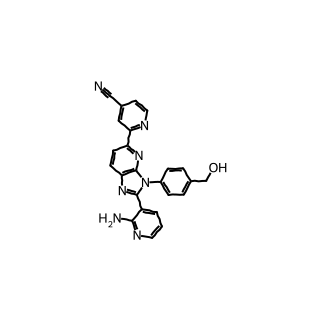 N#Cc1ccnc(-c2ccc3nc(-c4cccnc4N)n(-c4ccc(CO)cc4)c3n2)c1